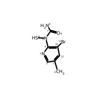 Cc1cnc(N(S)C(N)=O)c(Br)c1